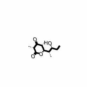 CC[C@@H](O)[C@H](C)[C@H]1OC(=O)[C@H](C)C(=O)[C@@H]1C